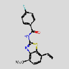 C=Cc1ccc(OC)c2nc(NC(=O)c3ccc(F)cc3)sc12